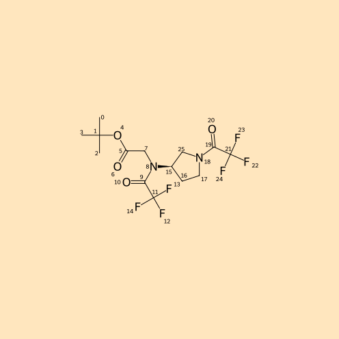 CC(C)(C)OC(=O)CN(C(=O)C(F)(F)F)[C@@H]1CCN(C(=O)C(F)(F)F)C1